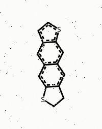 c1cc2cc3cc4c(cc3cc2s1)CCS4